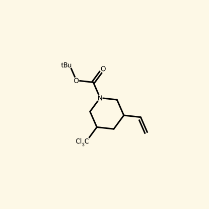 C=CC1CC(C(Cl)(Cl)Cl)CN(C(=O)OC(C)(C)C)C1